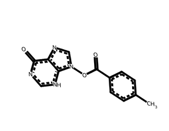 Cc1ccc(C(=O)On2cnc3c(=O)nc[nH]c32)cc1